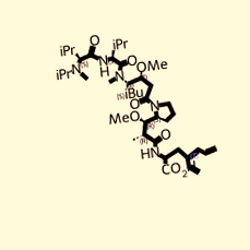 C=C/C=C(\C=C)CC(NC(=O)[C@H](C)[C@@H](OC)[C@@H]1CCCN1C(=O)C[C@@H](OC)[C@H]([C@@H](C)CC)N(C)C(=O)[C@@H](NC(=O)[C@H](C(C)C)N(C)C(C)C)C(C)C)C(=O)O